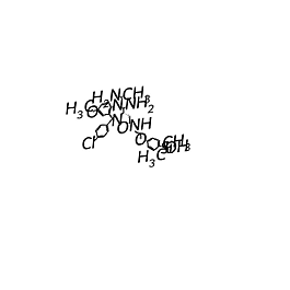 COc1ccc2c(c1)C(c1ccc(Cl)cc1)=N[C@@H](CC(=O)NCCOc1ccc([Si](C)(C)O)cc1)C(N)N2C(C)N